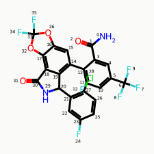 NC(=O)c1cc(C(F)(F)F)cc(F)c1-c1cc2c(c3c1C(c1cc(F)ccc1Cl)NC3=O)OC(F)(F)O2